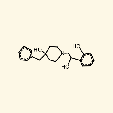 Oc1ccccc1C(O)CN1CCC(O)(Cc2ccccc2)CC1